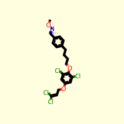 CO/N=C/c1ccc(CCCCOc2c(Cl)cc(OCC=C(Cl)Cl)cc2Cl)cc1